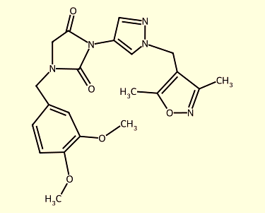 COc1ccc(CN2CC(=O)N(c3cnn(Cc4c(C)noc4C)c3)C2=O)cc1OC